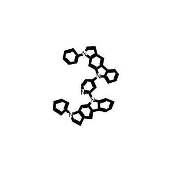 c1ccc(-n2ccc3cc4c5ccccc5n(-c5ccnc(-n6c7ccccc7c7cc8ccn(-c9ccccc9)c8cc76)c5)c4cc32)cc1